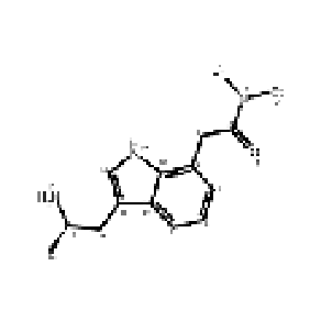 CCN(CC)C(=O)Cc1cccc2c(C[C@@H](C)N)c[nH]c12